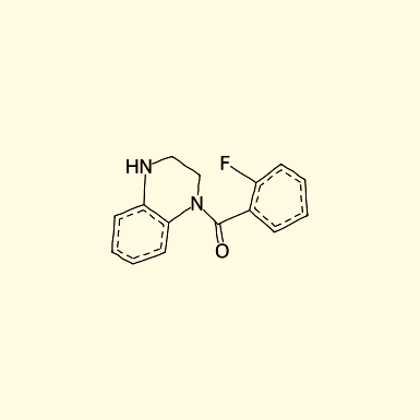 O=C(c1ccccc1F)N1CCNc2ccccc21